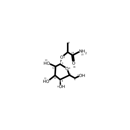 CC(O[C@@H]1OC(CO)[C@@H](O)C(O)C1O)C(N)=O